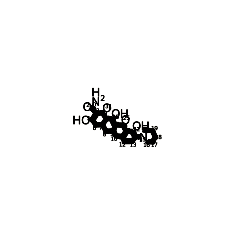 NC(=O)C1=C(O)CC2CC3Cc4ccc(N5CCCCC5)c(O)c4C(=O)C3=C(O)C2C1=O